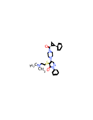 CN(C)CCSc1c(N2CCN(C(=O)[C@@H]3C[C@H]3c3ccccc3)CC2)cnn(-c2ccccc2)c1=O